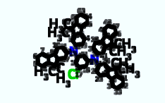 CC1(C)c2ccccc2-c2ccc(N(c3cc(Cl)cc(N(c4ccc5c(c4)C(C)(C)c4ccccc4-5)c4ccc5c(c4)C(C)(C)c4ccccc4-5)c3)c3ccc4c(c3)C(C)(C)c3ccccc3-4)cc21